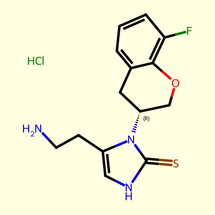 Cl.NCCc1c[nH]c(=S)n1[C@H]1COc2c(F)cccc2C1